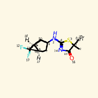 CC(C)C1(C)SC(NC2C[C@@H]3[C@H](C2)C3(F)F)=NC1=O